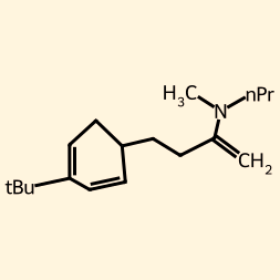 C=C(CCC1C=CC(C(C)(C)C)=CC1)N(C)CCC